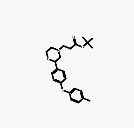 Cc1ccc(Sc2ccc(C3CN(CCC(=O)OC(C)(C)C)CCO3)cc2)cc1